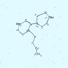 COCCN1CCNCC1N1CCNCC1